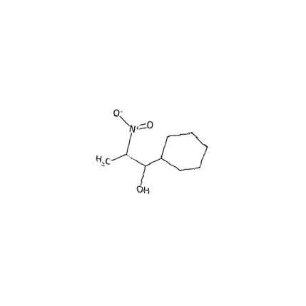 CC(C(O)C1CCCCC1)[N+](=O)[O-]